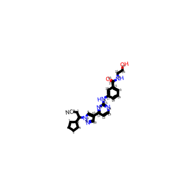 N#CCC(C1CCCC1)n1cc(-c2ccnc(Nc3cccc(C(=O)NCCO)c3)n2)cn1